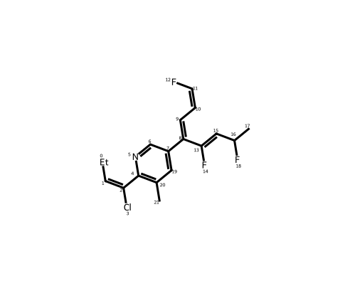 CC/C=C(/Cl)c1ncc(C(=C/C=C\F)/C(F)=C/C(C)F)cc1C